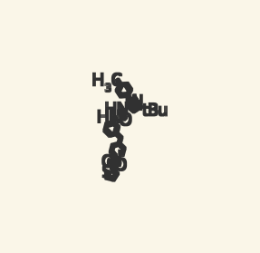 Cc1ccc(-n2nc(C(C)(C)C)cc2NC(=O)Nc2cccc(CC3CCN(S(=O)(=O)c4cccs4)CC3)c2)cc1